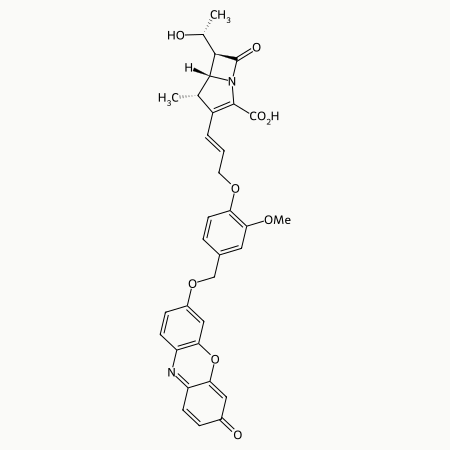 COc1cc(COc2ccc3nc4ccc(=O)cc-4oc3c2)ccc1OC/C=C/C1=C(C(=O)O)N2C(=O)[C@H]([C@@H](C)O)[C@H]2[C@H]1C